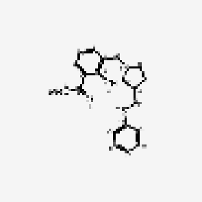 COC(=O)c1cccc(CN2CCC(CSc3ccccc3)C2)c1C#N